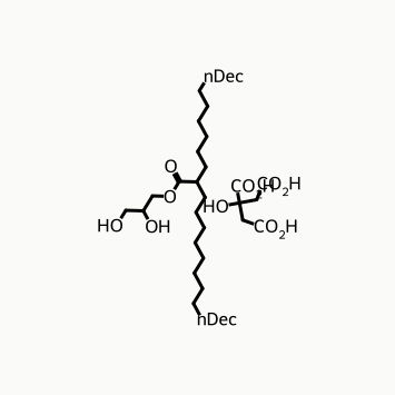 CCCCCCCCCCCCCCCCCCC(CCCCCCCCCCCCCCCC)C(=O)OCC(O)CO.O=C(O)CC(O)(CC(=O)O)C(=O)O